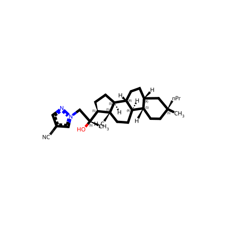 CCC[C@@]1(C)CC[C@H]2[C@H](CC[C@@H]3[C@@H]2CC[C@@]2(C)[C@H]3CC[C@@H]2[C@](C)(O)Cn2cc(C#N)cn2)C1